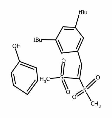 CC(C)(C)c1cc(C=C(S(C)(=O)=O)S(C)(=O)=O)cc(C(C)(C)C)c1.Oc1ccccc1